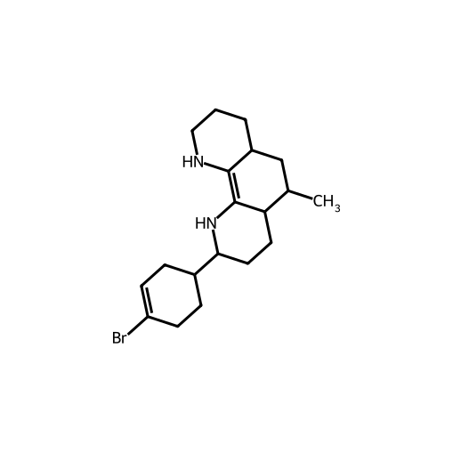 CC1CC2CCCNC2=C2NC(C3CC=C(Br)CC3)CCC21